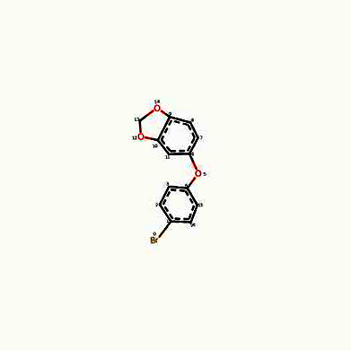 Brc1ccc(Oc2ccc3c(c2)OCO3)cc1